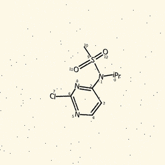 CC(C)N(c1ccnc(Cl)n1)S(C)(=O)=O